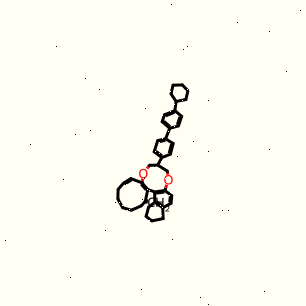 C=C1CCCCC/C=C\C2=C/1c1c(ccc3c1CCCC3)OCC(c1ccc(-c3ccc(C4CCCCC4)cc3)cc1)CO2